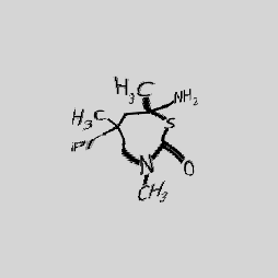 CC(C)C1(C)CN(C)C(=O)SC(C)(N)C1